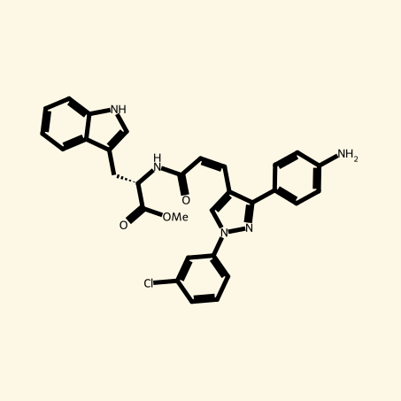 COC(=O)[C@H](Cc1c[nH]c2ccccc12)NC(=O)/C=C\c1cn(-c2cccc(Cl)c2)nc1-c1ccc(N)cc1